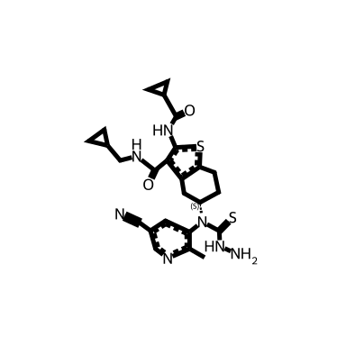 Cc1ncc(C#N)cc1N(C(=S)NN)[C@H]1CCc2sc(NC(=O)C3CC3)c(C(=O)NCC3CC3)c2C1